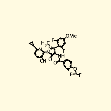 COc1cc(F)c(-c2c(NC(=O)c3ccc(OC(F)F)cc3)c(=O)n(-c3nc(C4CC4)ccc3C#N)n2C)c(F)c1